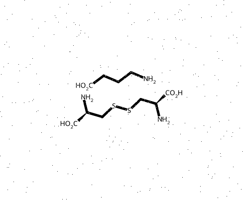 NCCCC(=O)O.N[C@@H](CSSC[C@H](N)C(=O)O)C(=O)O